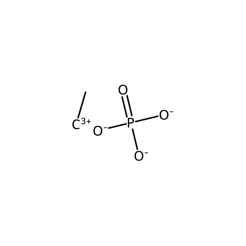 O=P([O-])([O-])[O-].[C+3]C